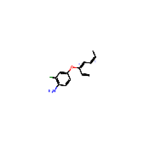 C=C/C(=C\C=C/C)Oc1ccc(N)c(F)c1